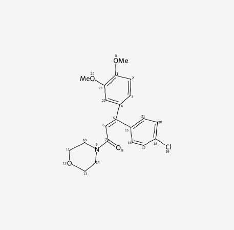 COc1ccc(C(=CC(=O)N2CCOCC2)c2ccc(Cl)cc2)cc1OC